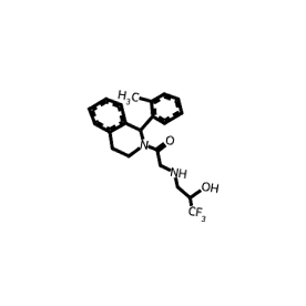 Cc1ccccc1C1c2ccccc2CCN1C(=O)CNCC(O)C(F)(F)F